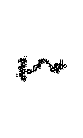 CCN(c1cc(-c2ccc(CN3CCN(CC(=O)N4CCC5(CCN(CCCCNc6cccc7c6C(=O)N(C6CCC(=O)NC6=O)C7=O)C5)C4)CC3)cc2)cc(C(=O)NCc2c(C)cc(C)[nH]c2=O)c1C)C1CCOCC1